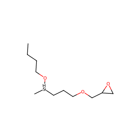 CCCCO[SiH](C)CCCOCC1CO1